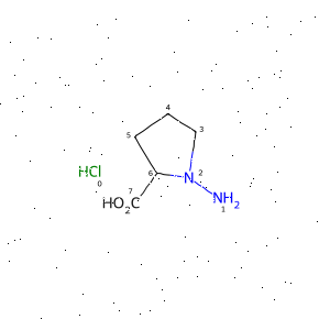 Cl.NN1CCCC1C(=O)O